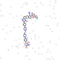 N#Cc1c(NS(=O)(=O)N2CC[C@@H](F)C2)ccc(F)c1Oc1ccc2ncn(-c3ccc(N4CCN(CCN5CCN(c6ccc(C7CCC(=O)NC7=O)cc6F)CC5)CC4)cc3)c(=O)c2c1